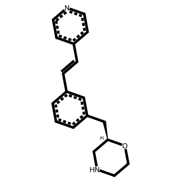 C(=Cc1cccc(C[C@@H]2CNCCO2)c1)c1ccncc1